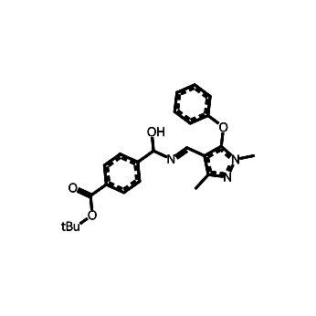 Cc1nn(C)c(Oc2ccccc2)c1C=NC(O)c1ccc(C(=O)OC(C)(C)C)cc1